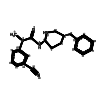 CN(C(=O)N[C@@H]1CC[C@@H](Cc2ccccc2)CN1)c1cccc(C#N)c1